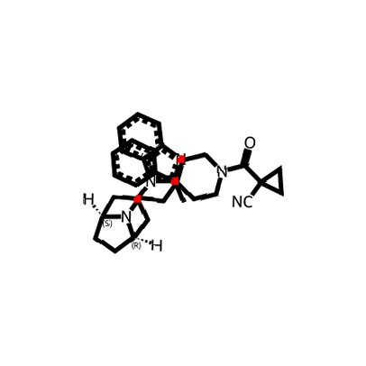 Cc1nc2ccccc2n1C1C[C@H]2CC[C@@H](C1)N2CCC1(c2ccccc2)CCN(C(=O)C2(C#N)CC2)CC1